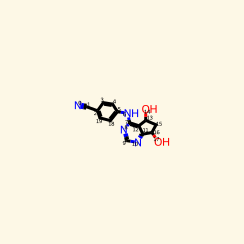 N#Cc1ccc(Nc2ncnc3c2C(O)CC3O)cc1